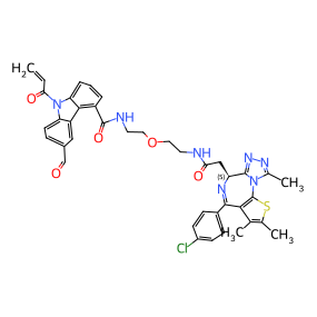 C=CC(=O)n1c2ccc(C=O)cc2c2c(C(=O)NCCOCCNC(=O)C[C@@H]3N=C(c4ccc(Cl)cc4)c4c(sc(C)c4C)-n4c(C)nnc43)cccc21